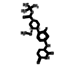 CO[C@@H]1CN(C(=O)OC(C)(C)C)CC[C@H]1c1ccc(NC2CCC(=O)NC2=O)cc1F